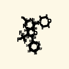 Cc1nc(N2CCOCC2)c2oc(-c3ccccn3)c(C(F)(F)F)c2n1